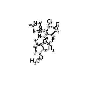 COc1ccc(CN(Sc2cc(Cl)c(F)cc2F)c2ccncn2)c(OC)c1